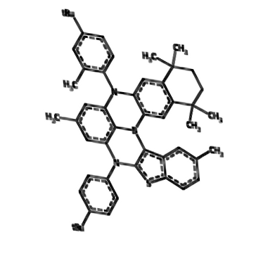 Cc1cc2c3c(c1)N(c1ccc(C(C)(C)C)cc1)c1sc4ccc(C)cc4c1B3c1cc3c(cc1N2c1ccc(C(C)(C)C)cc1C)C(C)(C)CCC3(C)C